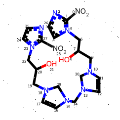 O=[N+]([O-])c1nccn1CC(O)CN1C=CN(CN2C=CN(CC(O)Cn3ccnc3[N+](=O)[O-])C2)C1